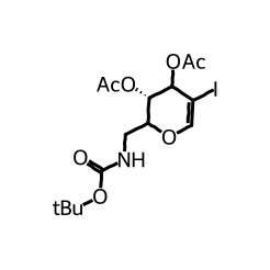 CC(=O)OC1C(I)=COC(CNC(=O)OC(C)(C)C)[C@@H]1OC(C)=O